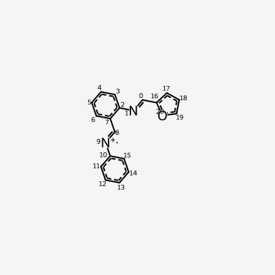 C(=Nc1ccccc1C=[N+]c1ccccc1)c1ccco1